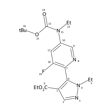 CCOC(=O)c1cnn(CC)c1-c1ncc(N(CC)C(=O)OC(C)(C)C)cc1F